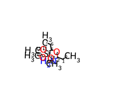 CCC(N)OC(CC)[Si](OC)(OC)OC